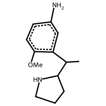 COc1ccc(N)cc1C(C)C1CCCN1